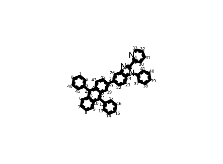 c1ccc(-c2c3ccccc3c(-c3ccccc3)c3cc(-c4ccc5c(c4)nc(-c4ccccn4)n5-c4ccccc4)ccc23)cc1